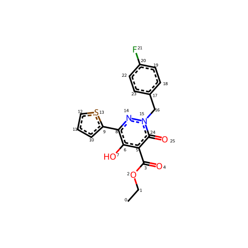 CCOC(=O)c1c(O)c(-c2cccs2)nn(Cc2ccc(F)cc2)c1=O